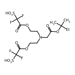 CCC(C)(C)OC(=O)CN(CCOC(=O)C(F)(F)S(=O)(=O)O)CCOC(=O)C(F)(F)S(=O)(=O)O